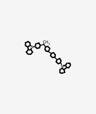 CC(c1ccc(-c2ccc(-c3ccc(-n4c5ccccc5c5ccccc54)cc3)cc2)cc1)c1ccc(-n2c3ccccc3c3ccccc32)cc1